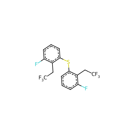 Fc1cccc(Sc2cccc(F)c2CC(F)(F)F)c1CC(F)(F)F